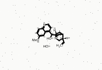 C=C[C@@H]1CN2CCC1C[C@H]2C(O)c1ccnc2ccc(OC)cc12.Cl